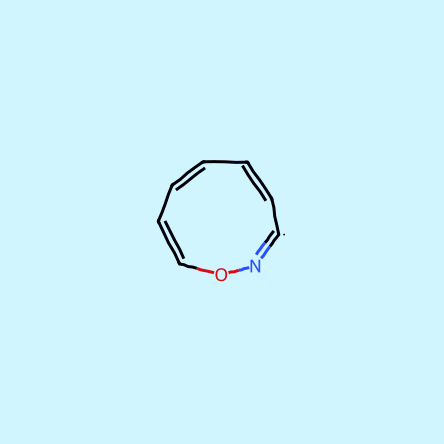 [c]1ccccccon1